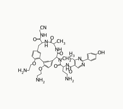 Cc1nc(-c2ccc(O)cc2)ncc1C(=O)NC(CCN)C(=O)N(C)C1C(=O)NC(C)C(=O)NC(C(=O)NCC#N)Cc2ccc(OCCN)c(c2)-c2cc1ccc2OCCN